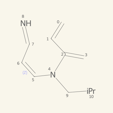 C=CC(=C)N(/C=C\C=N)CC(C)C